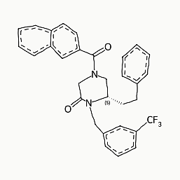 O=C(c1ccc2ccccc2c1)N1CC(=O)N(Cc2cccc(C(F)(F)F)c2)[C@@H](CCc2ccccc2)C1